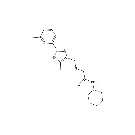 Cc1cccc(-c2nc(CSCC(=O)NC3CCCCC3)c(C)o2)c1